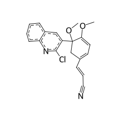 COC1=CC=C(C=CC#N)CC1(OC)c1cc2ccccc2nc1Cl